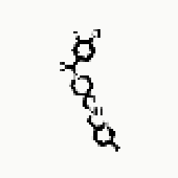 Cc1ccc(CNCC2(F)CCN(C(=O)c3ccc(Cl)c(F)c3)CC2)nc1